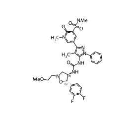 CNS(=O)(=O)c1cc(-c2nn(-c3ccccc3)c(NC(=O)N[C@@H]3CN(CCOC)O[C@H]3c3ccc(F)c(F)c3)c2C)cn(C)c1=O